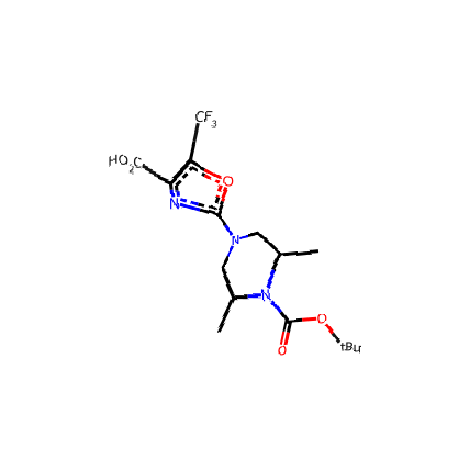 CC1CN(c2nc(C(=O)O)c(C(F)(F)F)o2)CC(C)N1C(=O)OC(C)(C)C